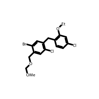 CCOc1cc(Cl)ccc1Cc1cc(Br)c(COCOC)cc1Cl